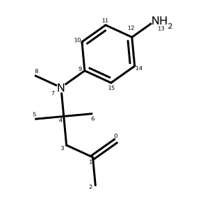 C=C(C)CC(C)(C)N(C)c1ccc(N)cc1